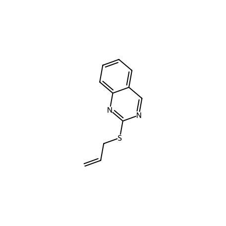 C=CCSc1ncc2ccccc2n1